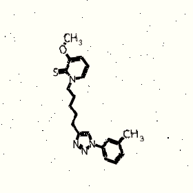 COc1cccn(CCCCCc2cn(-c3cccc(C)c3)nn2)c1=S